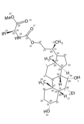 CC[C@H]1[C@@H](O)[C@@H]2C(CC[C@]3(C)C([C@H](C)CCOC(=O)N[C@H](C(=O)OC)C(C)C)CC[C@@H]23)[C@@]2(C)CC[C@@H](O)C[C@@H]12